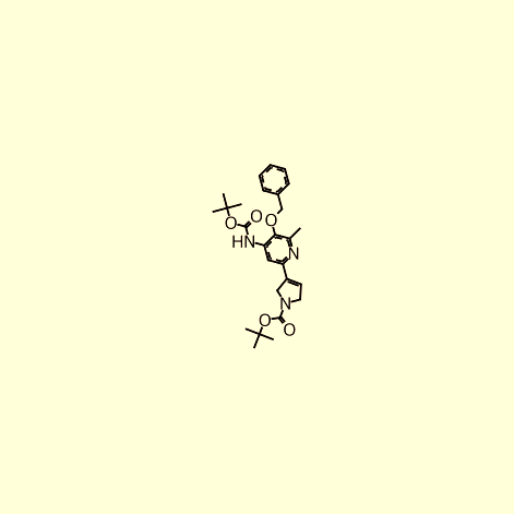 Cc1nc(C2=CCN(C(=O)OC(C)(C)C)C2)cc(NC(=O)OC(C)(C)C)c1OCc1ccccc1